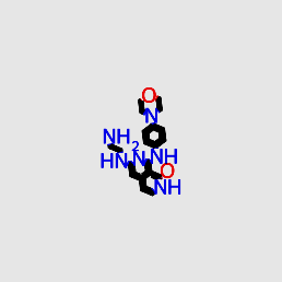 NCCNc1cc2cc[nH]c(=O)c2c(Nc2ccc(N3CCOCC3)cc2)n1